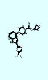 Cc1cnc(-c2cc3c(N4CCN(C(=O)OC5COC5)CC4)ccnc3[nH]2)o1